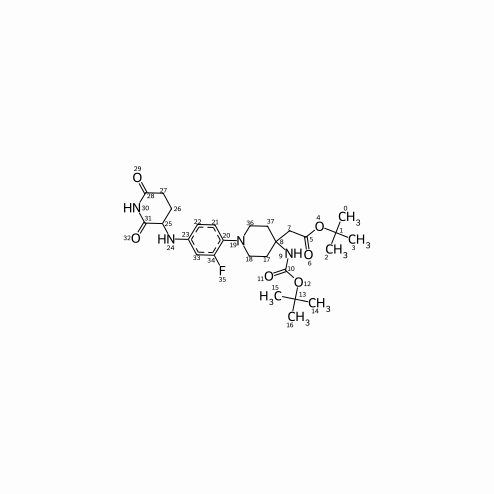 CC(C)(C)OC(=O)CC1(NC(=O)OC(C)(C)C)CCN(c2ccc(NC3CCC(=O)NC3=O)cc2F)CC1